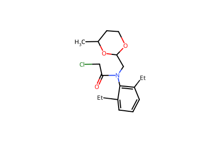 CCc1cccc(CC)c1N(CC1OCCC(C)O1)C(=O)CCl